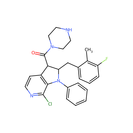 Cc1c(F)cccc1CC1C(C(=O)N2CCNCC2)c2ccnc(Cl)c2N1c1ccccc1